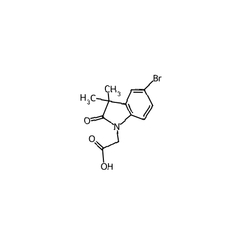 CC1(C)C(=O)N(CC(=O)O)c2ccc(Br)cc21